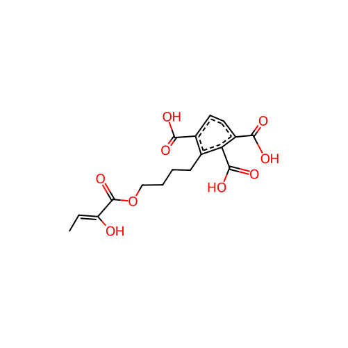 CC=C(O)C(=O)OCCCCc1c(C(=O)O)ccc(C(=O)O)c1C(=O)O